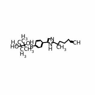 C#CCCC[C@H](C)c1ncc(-c2ccc(BOC(C)(C)C(C)(C)O)cc2)[nH]1